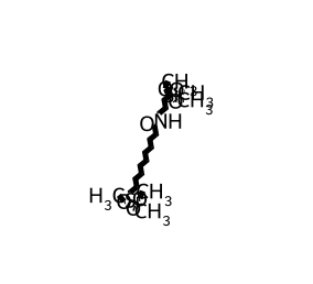 CO[Si](CCCCCCCCCCC(=O)NCCC[Si](OC)(OC)OC)(OC)OC